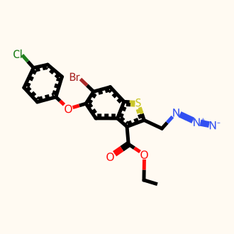 CCOC(=O)c1c(CN=[N+]=[N-])sc2cc(Br)c(Oc3ccc(Cl)cc3)cc12